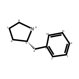 c1ccc(C[C@@H]2CCC[N]2)cc1